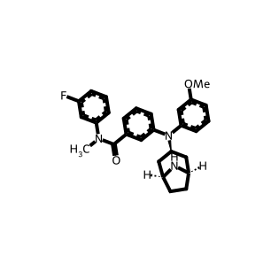 COc1cccc(N(c2cccc(C(=O)N(C)c3cccc(F)c3)c2)[C@H]2C[C@H]3CC[C@@H](C2)N3)c1